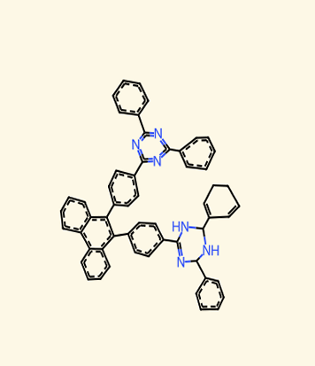 C1=CC(C2NC(c3ccc(-c4c(-c5ccc(-c6nc(-c7ccccc7)nc(-c7ccccc7)n6)cc5)c5ccccc5c5ccccc45)cc3)=NC(c3ccccc3)N2)=CCC1